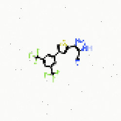 N#Cc1[nH]nnc1-c1cc(-c2cc(C(F)(F)F)cc(C(F)(F)F)c2)cs1